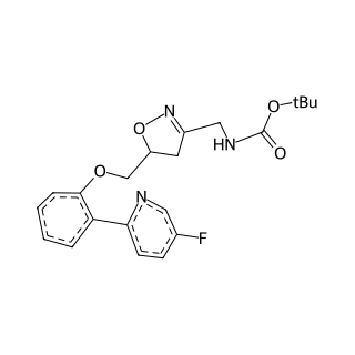 CC(C)(C)OC(=O)NCC1=NOC(COc2ccccc2-c2ccc(F)cn2)C1